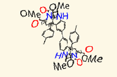 COC(=O)[C@@H]1C[C@@]2(c3ccc(C)cc3)c3cc(-c4ccc5c(c4)[C@]4(c6ccc(C)cc6)C[C@@H](C(=O)OC)N(C(=O)OC)[C@@H]4N5)ccc3N[C@H]2N1C(=O)OC